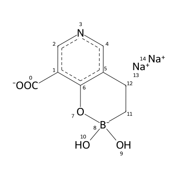 O=C([O-])c1cncc2c1O[B-](O)(O)CC2.[Na+].[Na+]